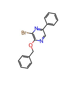 Brc1nc(-c2ccccc2)cnc1OCc1ccccc1